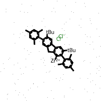 Cc1cc(C)c(-c2cc3c(cc2C(C)(C)C)-c2cc(C(C)(C)C)c(-c4c(C)cc(C)cc4C)[c]([Zr+2])c2C3)c(C)c1.[Cl-].[Cl-]